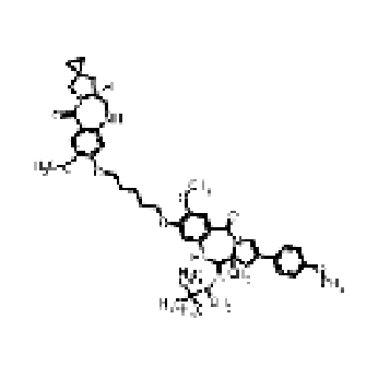 COc1ccc(C2=CN3C(=O)c4cc(OC)c(OCCCCCOc5cc6c(cc5OC)C(=O)N5CC7(CC7)C[C@H]5CN6)cc4NC(O[Si](C)(C)C(C)(C)C)C3(C)C2)cc1